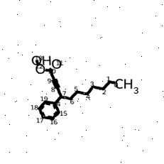 CCCCCCCC(C#CC(=O)OO)c1ccccc1